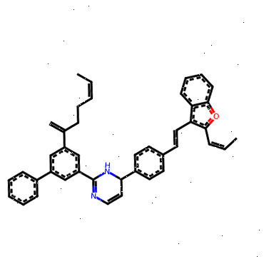 C=C(CC/C=C\C)c1cc(C2=NC=CC(c3ccc(/C=C/c4c(/C=C\C)oc5ccccc45)cc3)N2)cc(-c2ccccc2)c1